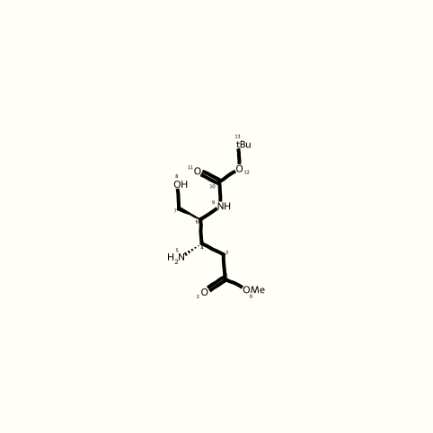 COC(=O)C[C@H](N)[C@@H](CO)NC(=O)OC(C)(C)C